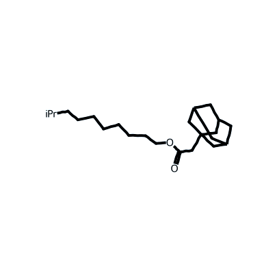 CC(C)CCCCCCCCOC(=O)CC12CC3CC(CC(C3)C1)C2